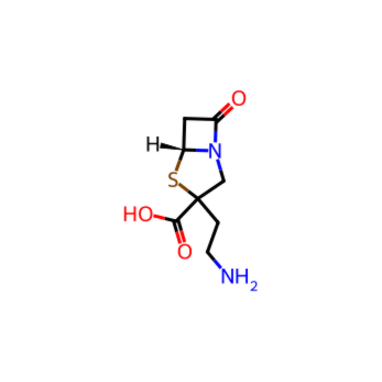 NCCC1(C(=O)O)CN2C(=O)C[C@H]2S1